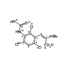 CCCCC(=Cc1c(Cl)cc(Cl)c(NC(=O)CCC)c1Cl)C(=O)O